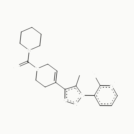 Cc1c(C2=CCN(C(=O)N3CCCCC3)CC2)nnn1-c1cccnc1F